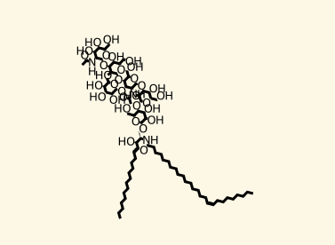 CCCCCCCC/C=C\CCCCCCCCCCCCCCCC(=O)N[C@@H](CO[C@@H]1OC(CO)[C@@H](O[C@@H]2OC(CO)[C@H](O)[C@H](O[C@@H]3OC(CO)[C@@H](O[C@@H]4OC(CO)[C@H](O)[C@H](O[C@@H]5OC(CO)[C@@H](O)[C@H](O)C5NC(C)=O)C4O)[C@H](O[C@H]4OC(C)[C@@H](O)C(O)[C@@H]4O)C3NC(C)=O)C2O)[C@H](O)C1O)[C@H](O)/C=C/CCCCCCCCCCCCC